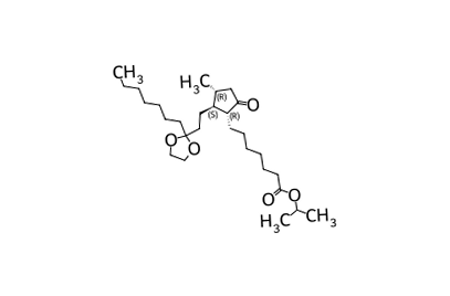 CCCCCCCC1(CC[C@H]2[C@H](C)CC(=O)[C@@H]2CCCCCCC(=O)OC(C)C)OCCO1